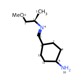 COC[C@@H](C)/N=C/C1CCC(N)CC1